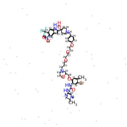 Cc1cnc(NC(=O)Nc2cc(Br)c(C)cc2OC[C@@H]2CN(CCCOCCOCCOc3ccc(CN4CCC(O)(c5cc6cc([N+](=O)[O-])c(C(F)(F)F)cc6[nH]5)CC4)cc3)CCO2)cn1